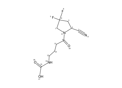 N#CC1CC(F)(F)CN1C(=O)CCCNC(=O)O